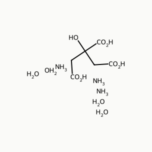 N.N.N.O.O.O.O.O=C(O)CC(O)(CC(=O)O)C(=O)O